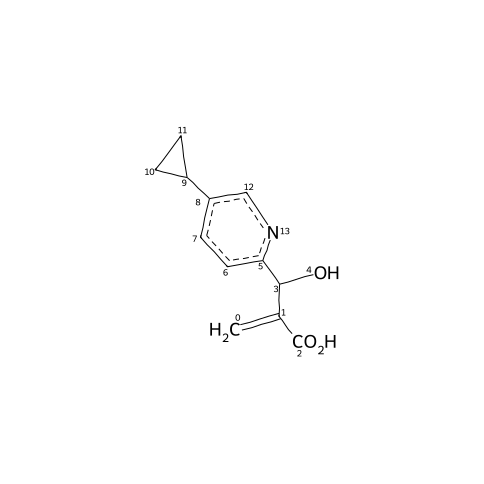 C=C(C(=O)O)C(O)c1ccc(C2CC2)cn1